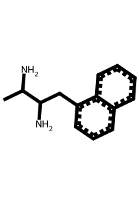 CC(N)C(N)Cc1cccc2ccccc12